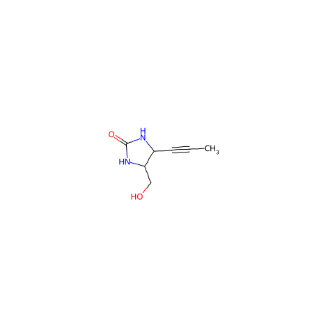 CC#CC1NC(=O)NC1CO